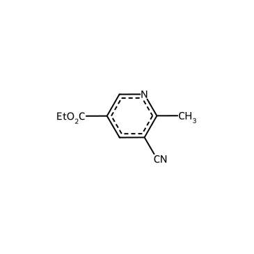 CCOC(=O)c1cnc(C)c(C#N)c1